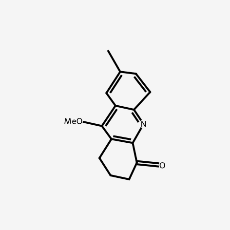 COc1c2c(nc3ccc(C)cc13)C(=O)CCC2